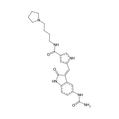 NC(=O)Nc1ccc2c(c1)C(=Cc1cc(C(=O)NCCCCN3CCCC3)c[nH]1)C(=O)N2